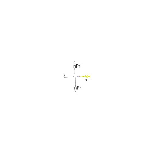 CCCC(C)(S)CCC